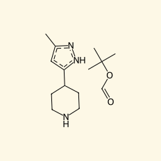 CC(C)(C)OC=O.Cc1cc(C2CCNCC2)[nH]n1